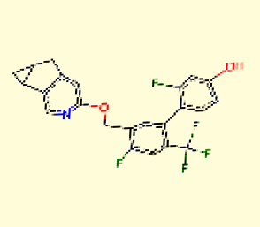 Oc1ccc(-c2cc(COc3cc4c(cn3)C3CC3C4)c(F)cc2C(F)(F)F)c(F)c1